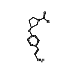 CCC(=O)N1CC[C@H](Oc2ccc(/C=C/C(=O)O)cc2)C1